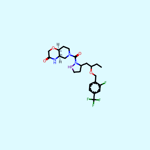 CCC(CC1CCPN1C(=O)N1CC[C@@H]2OCC(=O)N[C@@H]2C1)OCc1ccc(C(F)(F)F)cc1F